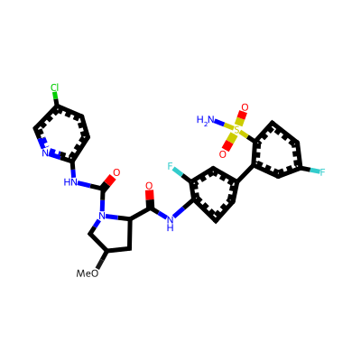 COC1CC(C(=O)Nc2ccc(-c3cc(F)ccc3S(N)(=O)=O)cc2F)N(C(=O)Nc2ccc(Cl)cn2)C1